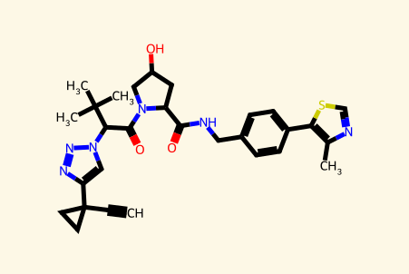 C#CC1(c2cn(C(C(=O)N3CC(O)CC3C(=O)NCc3ccc(-c4scnc4C)cc3)C(C)(C)C)nn2)CC1